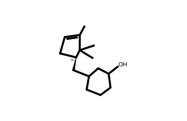 CC1=CC[C@H](CC2CCCC(O)C2)C1(C)C